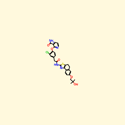 CC(C)(O)COc1ccc2c(c1)CCc1sc(NC(=O)Cc3ccc(Oc4ncccc4C(N)=O)c(Cl)c3)nc1-2